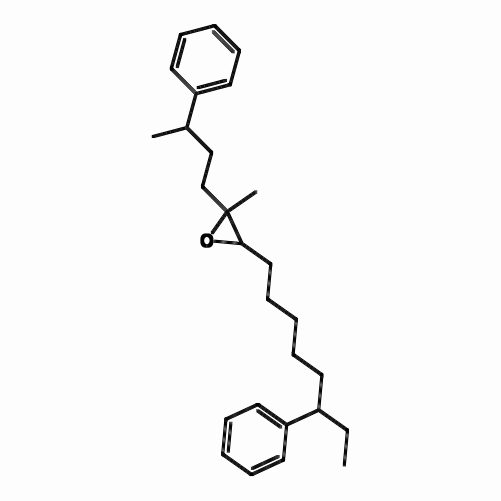 CCC(CCCCCC1OC1(C)CCC(C)c1ccccc1)c1ccccc1